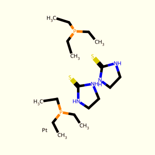 CCP(CC)CC.CCP(CC)CC.S=C1NCCN1.S=C1NCCN1.[Pt]